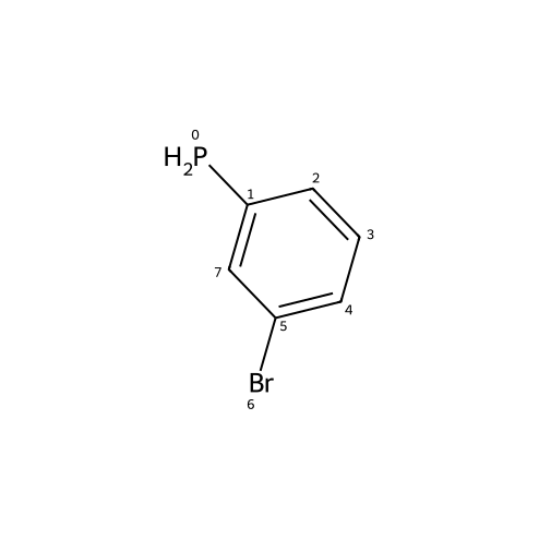 Pc1cccc(Br)c1